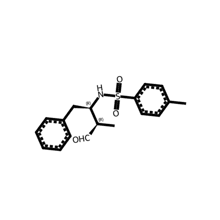 Cc1ccc(S(=O)(=O)N[C@H](Cc2ccccc2)[C@@H](C)C=O)cc1